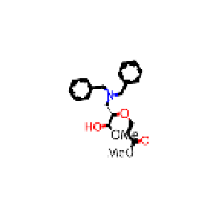 COC(=O)/C=C/O[C@@H](CN(Cc1ccccc1)Cc1ccccc1)C(O)OC